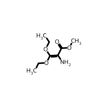 CCOC(OCC)=C(N)C(=O)OC